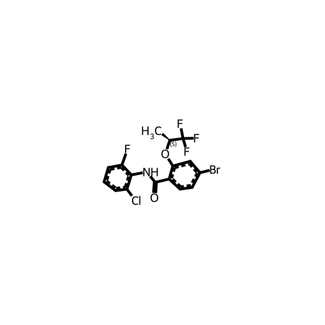 C[C@H](Oc1cc(Br)ccc1C(=O)Nc1c(F)cccc1Cl)C(F)(F)F